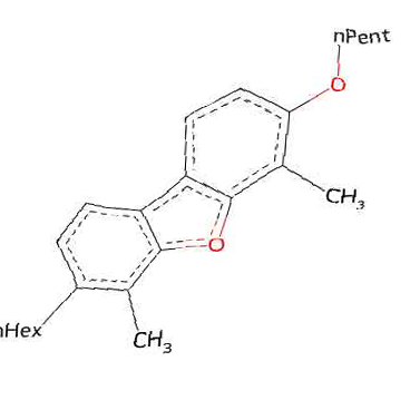 CCCCCCc1ccc2c(oc3c(C)c(OCCCCC)ccc32)c1C